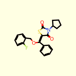 O=C1SC(=C(OCc2ccccc2F)c2ccccc2)C(=O)N1C1CCCC1